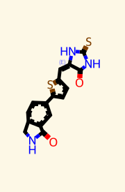 O=C1NC(=S)N/C1=C/c1ccc(-c2ccc3c(c2)C(=O)NC3)s1